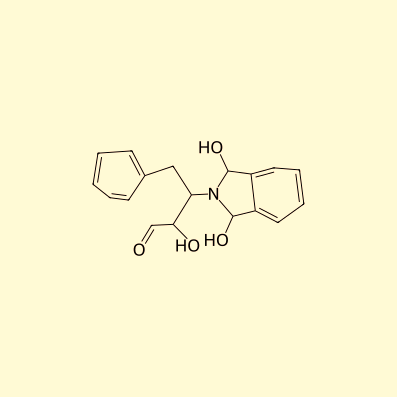 O=CC(O)C(Cc1ccccc1)N1C(O)c2ccccc2C1O